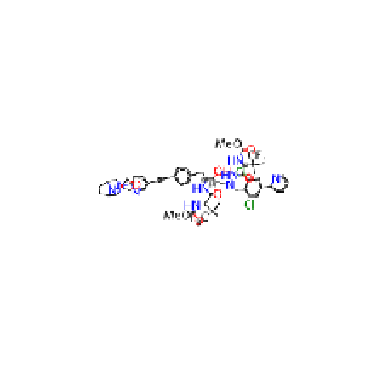 COC(=O)NC(C(=O)N[C@@H](Cc1ccc(C#Cc2ccc(N3CC4CCC(C3)N4C3COC3)nc2)cc1)[C@@H](O)CN(Cc1c(Cl)cc(-c2ccccn2)cc1Cl)NC(=O)[C@@H](NC(=O)OC)C(C)(C)C(F)(F)F)C(C)(C)C(F)(F)F